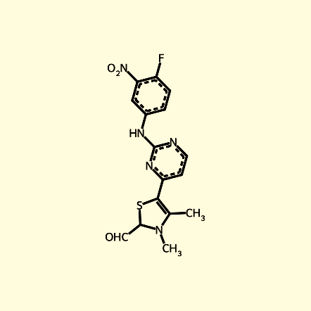 CC1=C(c2ccnc(Nc3ccc(F)c([N+](=O)[O-])c3)n2)SC(C=O)N1C